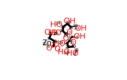 O=C([O-])CCC(=O)[O-].OC[C@H]1O[C@@](CO)(O[C@H]2O[C@H](CO)[C@@H](O)[C@H](O)[C@H]2O)[C@@H](O)[C@@H]1O.[Zn+2]